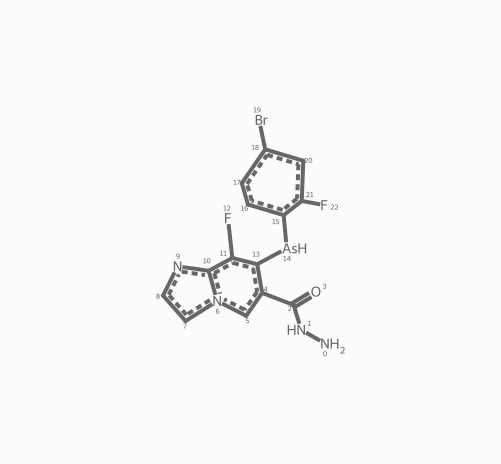 NNC(=O)c1cn2ccnc2c(F)c1[AsH]c1ccc(Br)cc1F